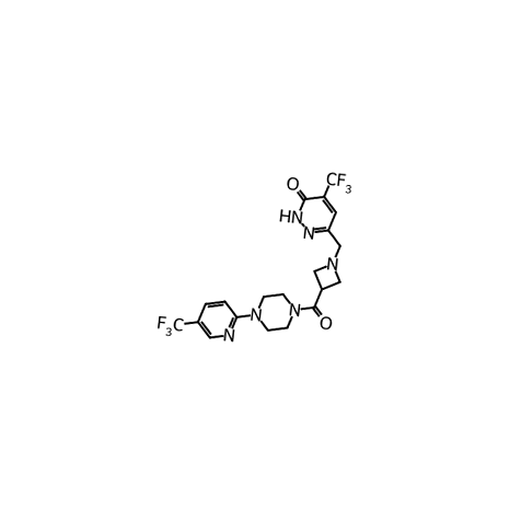 O=C(C1CN(Cc2cc(C(F)(F)F)c(=O)[nH]n2)C1)N1CCN(c2ccc(C(F)(F)F)cn2)CC1